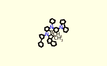 CC1(C)c2c(ccc3ccccc23)C2C1B1c3ccc(-n4c5ccccc5c5ccccc54)cc3N(c3ccccc3)c3cccc(c31)N2c1cccc(-c2ccccc2)c1